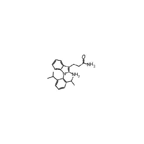 CC(C)c1cccc(C(C)C)c1-n1c(N)c(CCC(N)=O)c2ccccc21